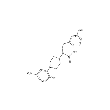 COc1ccc2c(c1)CCN(C1CCN(c3cc([N+](=O)[O-])cc[n+]3[O-])CC1)C(=O)N2